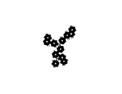 c1ccc(-n2c3cccc(-c4cccc(N(c5ccc(-c6ccc7c(ccc8ccccc87)c6)cc5)c5ccc(-c6cccc7ccccc67)cc5)c4)c3c3ccc4ccccc4c32)cc1